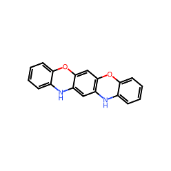 c1ccc2oc3cc4oc5ccccc5[nH]c4cc3[nH]c2c1